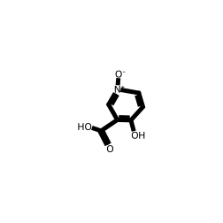 O=C(O)c1c[n+]([O-])ccc1O